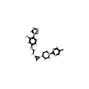 Cc1cnc(N2CCC([C@@H]3C[C@@H]3CCOc3ccc(-n4cnnn4)c(F)c3)CC2)nc1